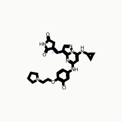 O=C1C/C(=C\c2cnn3c(NC4CC4)cc(Nc4ccc(OCCN5CCCC5)c(Cl)c4)nc23)C(=O)N1